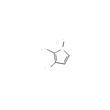 Cc1ccn(C)c1C(C)C